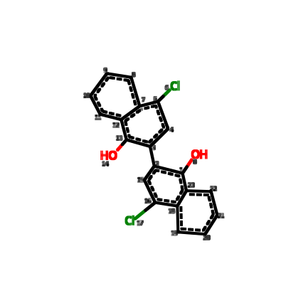 Oc1c(-c2cc(Cl)c3ccccc3c2O)cc(Cl)c2ccccc12